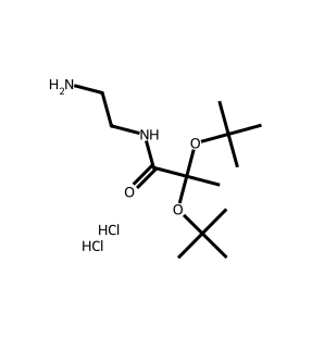 CC(C)(C)OC(C)(OC(C)(C)C)C(=O)NCCN.Cl.Cl